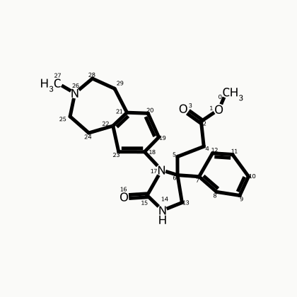 COC(=O)CCC1(c2ccccc2)CNC(=O)N1c1ccc2c(c1)CCN(C)CC2